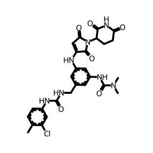 Cc1ccc(NC(=O)NCc2cc(NC(=O)N(C)C)cc(NC3=CC(=O)N(C4CCC(=O)NC4=O)C3=O)c2)cc1Cl